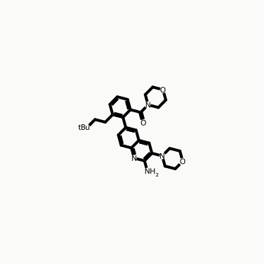 CC(C)(C)CCc1cccc(C(=O)N2CCOCC2)c1-c1ccc2nc(N)c(N3CCOCC3)cc2c1